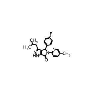 Cc1ccc(N2C(=O)c3[nH]nc(CC(C)C)c3C2c2ccc(F)cc2)nc1